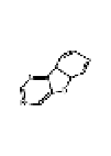 C1=CC2Oc3cncnc3C2C=C1